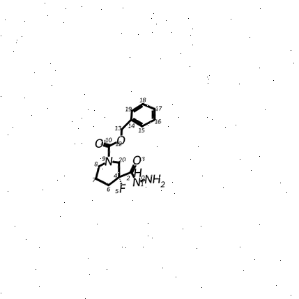 NNC(=O)[C@@]1(F)CCCN(C(=O)OCc2ccccc2)C1